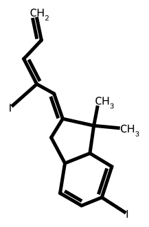 C=C/C=C(I)\C=C1/CC2C=CC(I)=CC2C1(C)C